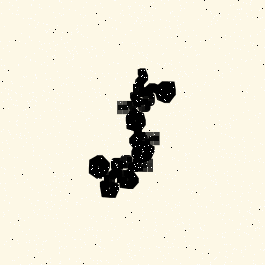 CCCN(CC(=O)Nc1ccc(-c2cc3cc(NC(=O)[C@@H]4CCCN4C(=O)[C@@H](c4ccccc4)N4CCCC4)ccc3[nH]2)cc1)C(=O)Cc1ccccc1